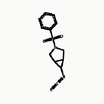 O=S(=O)(c1ccccc1)N1CC2C(C1)C2N=C=S